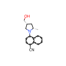 C[C@H]1C[C@@H](CO)CN1c1ccc(C#N)c2ccccc12